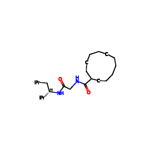 CC(C)C[C@H](NC(=O)CNC(=O)C1CCCCCCCCCC1)C(C)C